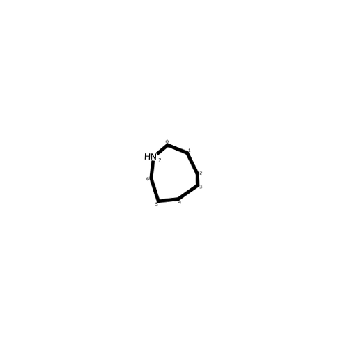 [C]1CCCCCCN1